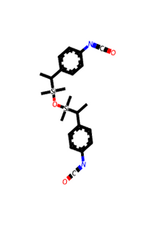 CC(c1ccc(N=C=O)cc1)[Si](C)(C)O[Si](C)(C)C(C)c1ccc(N=C=O)cc1